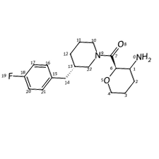 NC1CCCO[C@H]1C(=O)N1CCC[C@@H](Cc2ccc(F)cc2)C1